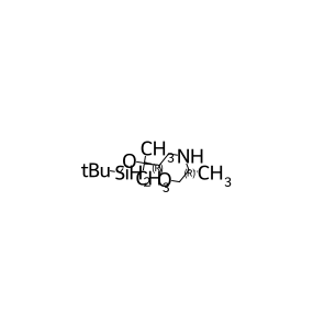 C[C@@H]1CO[C@@H](C(C)(C)O[SiH2]C(C)(C)C)CN1